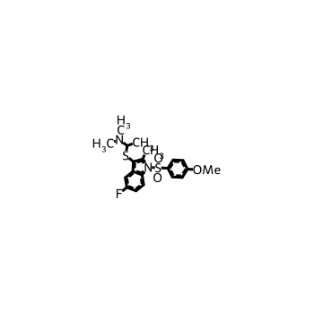 COc1ccc(S(=O)(=O)n2c(C)c(SC(C)N(C)C)c3cc(F)ccc32)cc1